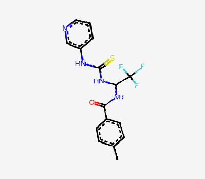 Cc1ccc(C(=O)NC(NC(=S)Nc2cccnc2)C(F)(F)F)cc1